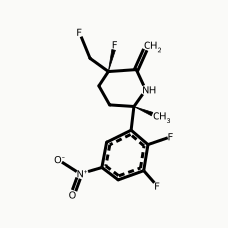 C=C1N[C@](C)(c2cc([N+](=O)[O-])cc(F)c2F)CC[C@]1(F)CF